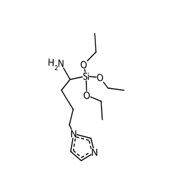 CCO[Si](OCC)(OCC)C(N)CCCn1ccnc1